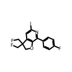 FCC1(CF)COc2c1cc(I)nc2-c1ccc(F)cc1